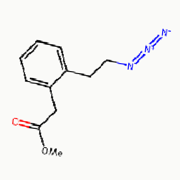 COC(=O)Cc1ccccc1CCN=[N+]=[N-]